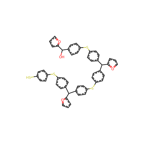 OC(c1ccc(Sc2ccc(C(c3ccc(Sc4ccc(C(c5ccc(Sc6ccc(S)cc6)cc5)c5ccco5)cc4)cc3)c3ccco3)cc2)cc1)c1ccco1